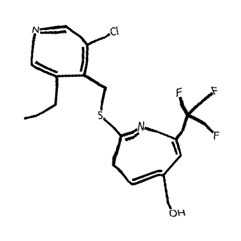 CCc1cncc(Cl)c1CSC1=NC(C(F)(F)F)=CC(O)=CC1